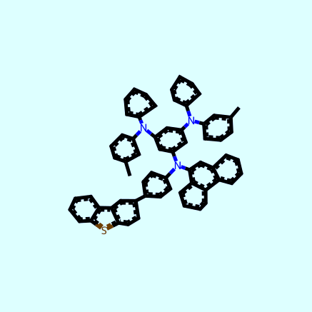 Cc1cccc(N(c2ccccc2)c2cc(N(c3ccccc3)c3cccc(C)c3)cc(N(c3ccc(-c4ccc5sc6ccccc6c5c4)cc3)c3cc4ccccc4c4ccccc34)c2)c1